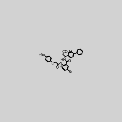 CC(C)(C)c1ccc(OCC(=O)Nc2ccc(Br)cc2C(=O)NC(CC(=O)O)c2ccc(-c3ccccc3)cc2)cc1